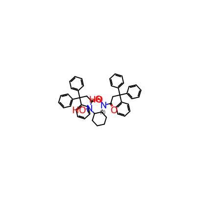 O=C(CC(c1ccccc1)(c1ccccc1)c1ccccc1)N(O)C1CCCC[C@H]1N(O)C(=O)CC(c1ccccc1)(c1ccccc1)c1ccccc1